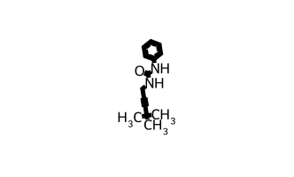 CC(C)(C)C#CCNC(=O)Nc1ccccc1